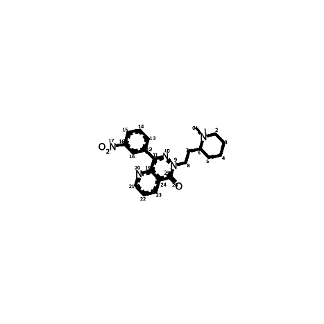 CN1CCCCC1CCn1nc(-c2cccc([N+](=O)[O-])c2)c2ncccc2c1=O